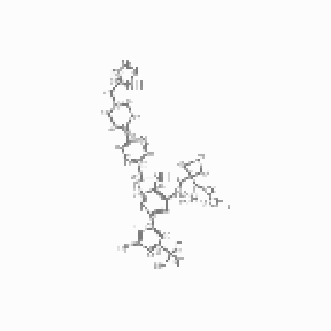 COCC1(CN(C)c2cc(-c3cc(F)cc(C(F)(F)F)c3)nc3nc(-c4cnc(N5CCN(Cc6nnn[nH]6)CC5)cn4)[nH]c23)CCC1